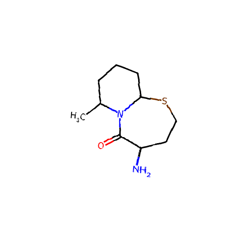 CC1CCCC2SCCC(N)C(=O)N12